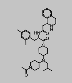 CC(=O)N1CCC(N(CC(C)C)C2CCN(C(=O)[C@@H](Cc3ccc(C)cc3C)NC(=O)C[C@@H]3NCCc4ccccc43)CC2)CC1